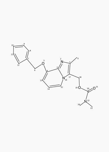 Cc1nc2c(OCc3ccccc3)cccn2c1COC(=O)N(C)C